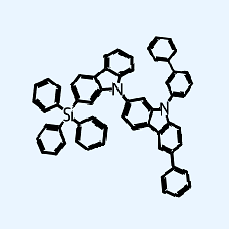 c1ccc(-c2cccc(-n3c4ccc(-c5ccccc5)cc4c4ccc(-n5c6ccccc6c6ccc([Si](c7ccccc7)(c7ccccc7)c7ccccc7)cc65)cc43)c2)cc1